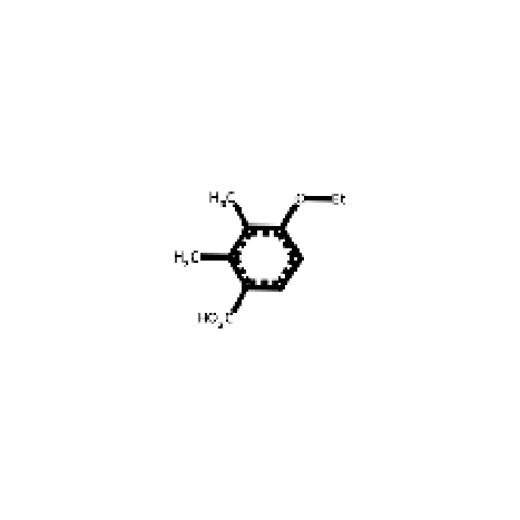 CCOc1ccc(C(=O)O)c(C)c1C